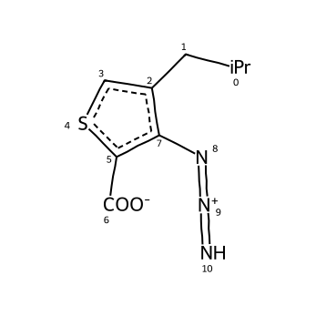 CC(C)Cc1csc(C(=O)[O-])c1N=[N+]=N